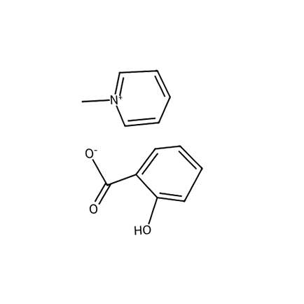 C[n+]1ccccc1.O=C([O-])c1ccccc1O